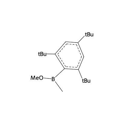 COB(C)c1c(C(C)(C)C)cc(C(C)(C)C)cc1C(C)(C)C